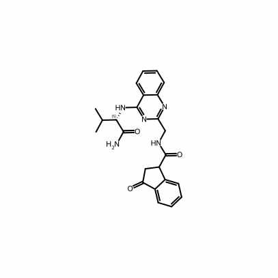 CC(C)[C@H](Nc1nc(CNC(=O)C2CC(=O)c3ccccc32)nc2ccccc12)C(N)=O